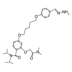 CC(C)N(C(=O)c1ccc(OCCCCCOc2ccc(C=NN)cc2)cc1OCC(=O)N(C)C)C(C)C